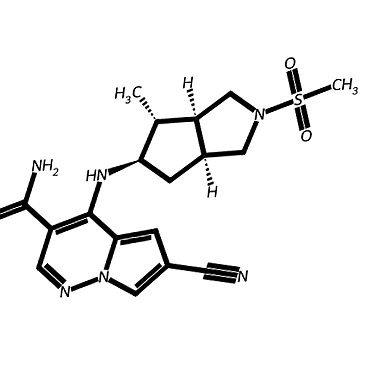 C[C@@H]1[C@H]2CN(S(C)(=O)=O)C[C@H]2C[C@H]1Nc1c(C(N)=O)cnn2cc(C#N)cc12